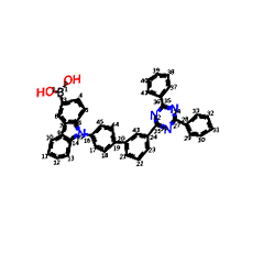 OB(O)c1ccc2c(c1)c1ccccc1n2-c1ccc(-c2cccc(-c3nc(-c4ccccc4)nc(-c4ccccc4)n3)c2)cc1